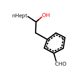 CCCCCCCC(O)Cc1cccc(C=O)c1